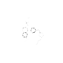 C[C@@H]1Cc2cc3c(cc2[C@@H](c2ncc(N[C@H]4CCN(CCCF)C4)cc2F)N1CC(F)(F)CO)OCO3